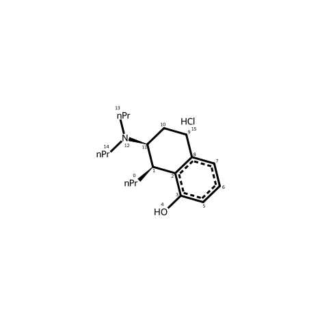 CCC[C@@H]1c2c(O)cccc2CC[C@@H]1N(CCC)CCC.Cl